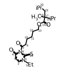 CCn1ccc(=O)n(C(=O)CCCCCOC(=O)C(C)(CC(C)C)C(C)C)c1=S